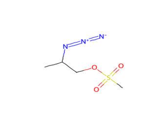 CC(COS(C)(=O)=O)N=[N+]=[N-]